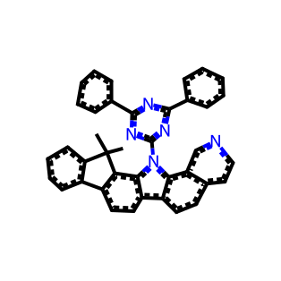 CC1(C)c2ccccc2-c2ccc3c4ccc5ccncc5c4n(-c4nc(-c5ccccc5)nc(-c5ccccc5)n4)c3c21